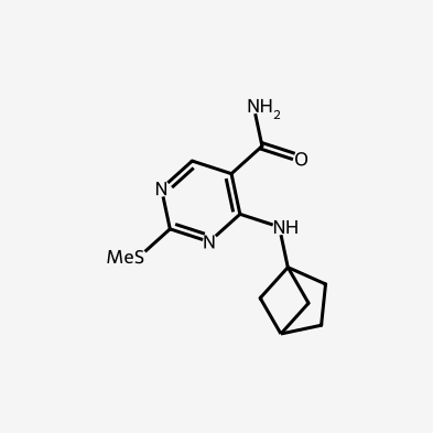 CSc1ncc(C(N)=O)c(NC23CCC(C2)C3)n1